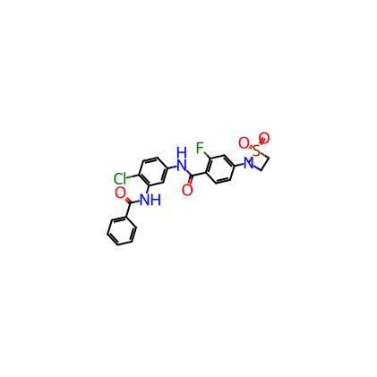 O=C(Nc1cc(NC(=O)c2ccc(N3CCS3(=O)=O)cc2F)ccc1Cl)c1ccccc1